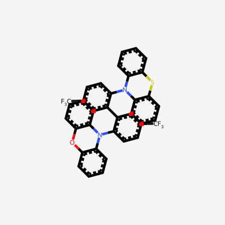 FC(F)(F)c1ccc(N2c3ccccc3Oc3ccccc32)c(-c2cc(C(F)(F)F)ccc2N2c3ccccc3Sc3ccccc32)c1